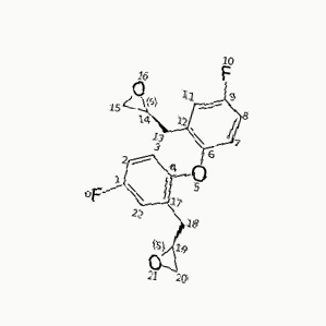 Fc1ccc(Oc2ccc(F)cc2C[C@H]2CO2)c(C[C@H]2CO2)c1